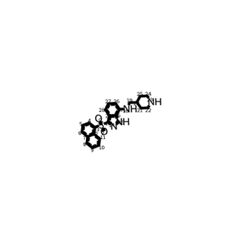 O=S(=O)(c1cccc2ccccc12)c1n[nH]c2c(NCC3CCNCC3)cccc12